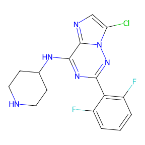 Fc1cccc(F)c1-c1nc(NC2CCNCC2)c2ncc(Cl)n2n1